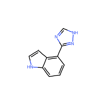 [c]1c[nH]c2cccc(-c3nc[nH]n3)c12